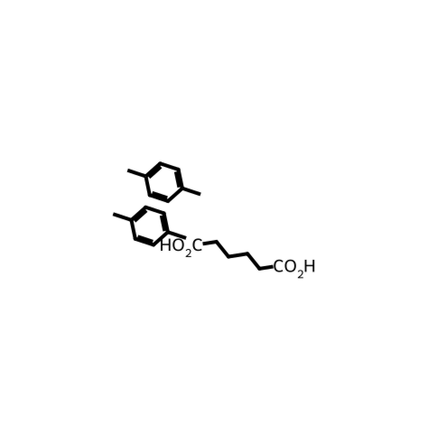 Cc1ccc(C)cc1.Cc1ccc(C)cc1.O=C(O)CCCCC(=O)O